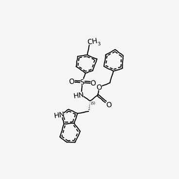 Cc1ccc(S(=O)(=O)N[C@@H](Cc2c[nH]c3ccccc23)C(=O)OCc2ccccc2)cc1